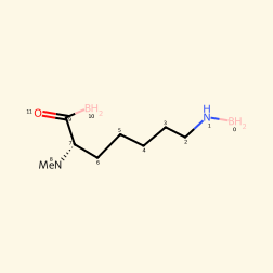 BNCCCCC[C@H](NC)C(B)=O